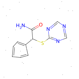 NC(=O)C(Sc1ncncn1)c1ccccc1